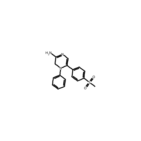 CS(=O)(=O)c1ccc(C2=CN=C(N)CN2c2ccccc2)cc1